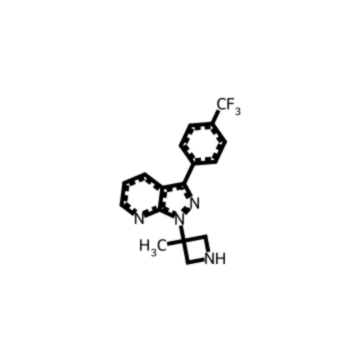 CC1(n2nc(-c3ccc(C(F)(F)F)cc3)c3cccnc32)CNC1